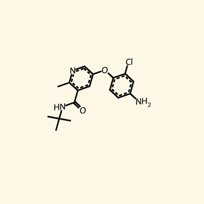 Cc1ncc(Oc2ccc(N)cc2Cl)cc1C(=O)NC(C)(C)C